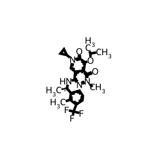 Cc1c([C@@H](C)Nc2nn(C)c(=O)c3c(OC(C)C)c(=O)n(C4CC4)cc23)cccc1C(F)(F)F